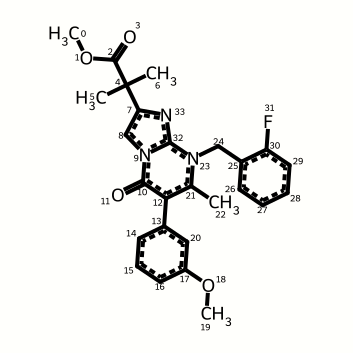 COC(=O)C(C)(C)c1cn2c(=O)c(-c3cccc(OC)c3)c(C)n(Cc3ccccc3F)c2n1